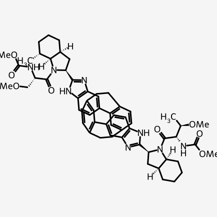 COC[C@H](NC(=O)OC)C(=O)N1[C@@H]2[C@@H](CCC[C@H]2C)C[C@H]1c1nc2cc(-c3cc4ccc3CCc3ccc(c(-c5ccc6[nH]c([C@@H]7C[C@@H]8CCCC[C@@H]8N7C(=O)[C@@H](NC(=O)OC)[C@@H](C)OC)nc6c5)c3)CC4)ccc2[nH]1